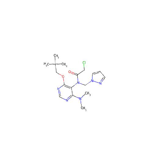 CN(C)c1ncnc(OCC(C)(C)C)c1N(Cn1cccn1)C(=O)CCl